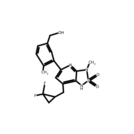 Cc1ccc(CO)cc1-c1cc(CC2CC2(F)F)c2c(n1)N(C)S(=O)(=O)N2